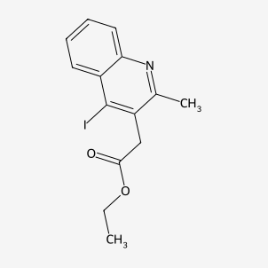 CCOC(=O)Cc1c(C)nc2ccccc2c1I